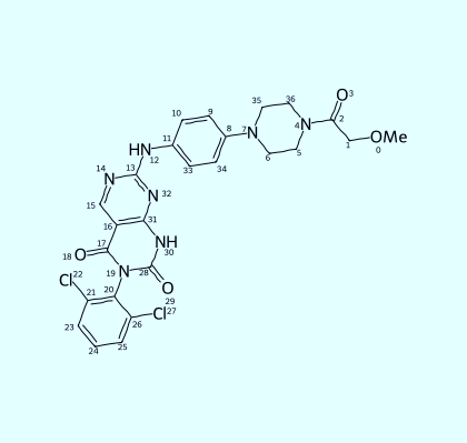 COCC(=O)N1CCN(c2ccc(Nc3ncc4c(=O)n(-c5c(Cl)cccc5Cl)c(=O)[nH]c4n3)cc2)CC1